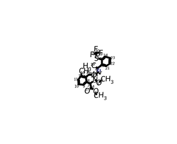 CONC(C(=O)OC)c1cccc(C)c1CO/N=C(\C)c1ccccc1SC(F)(F)F